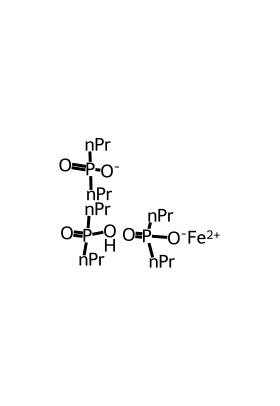 CCCP(=O)(O)CCC.CCCP(=O)([O-])CCC.CCCP(=O)([O-])CCC.[Fe+2]